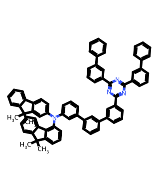 CC1(C)c2ccccc2-c2ccc(N(c3cccc(-c4cccc(-c5cccc(-c6nc(-c7cccc(-c8ccccc8)c7)nc(-c7cccc(-c8ccccc8)c7)n6)c5)c4)c3)c3cccc4c3-c3ccccc3C4(C)C)cc21